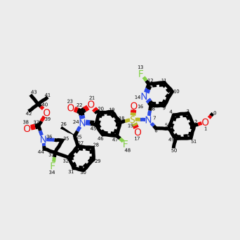 COc1ccc(CN(c2cccc(F)n2)S(=O)(=O)c2cc3oc(=O)n([C@H](C)c4ccccc4C4(F)CN(C(=O)OC(C)(C)C)C4)c3cc2F)c(C)c1